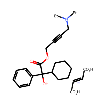 CCN(CC)CC#CCOC(=O)C(O)(c1ccccc1)C1CCCCC1.O=C(O)/C=C/C(=O)O